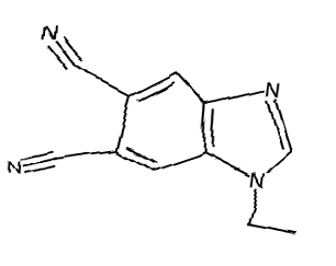 CCn1cnc2cc(C#N)c(C#N)cc21